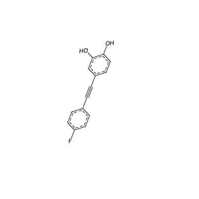 Oc1ccc(C#Cc2ccc(F)cc2)cc1O